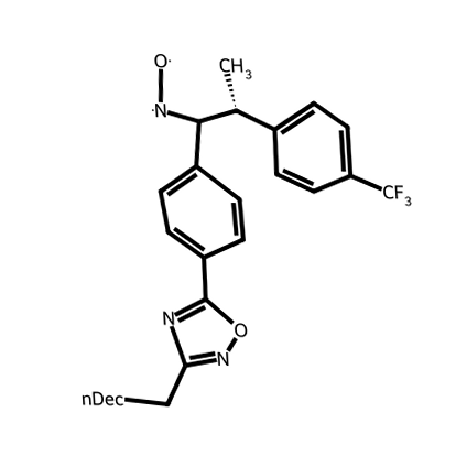 CCCCCCCCCCCc1noc(-c2ccc(C([N][O])[C@H](C)c3ccc(C(F)(F)F)cc3)cc2)n1